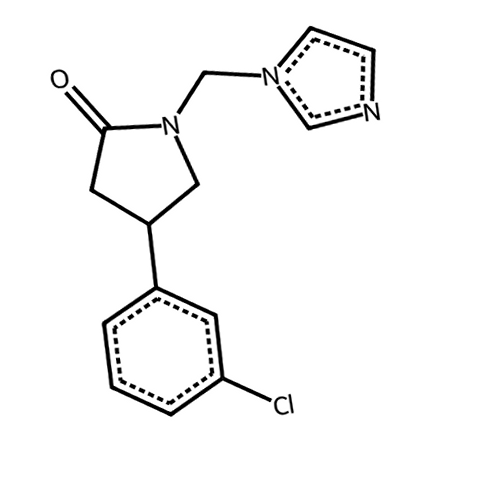 O=C1CC(c2cccc(Cl)c2)CN1Cn1ccnc1